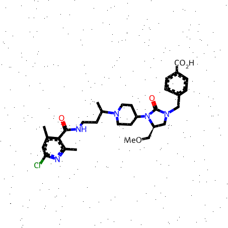 COC[C@@H]1CN(Cc2ccc(C(=O)O)cc2)C(=O)N1C1CCN(C(C)CCNC(=O)c2c(C)cc(Cl)nc2C)CC1